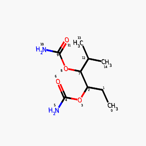 CCC(OC(N)=O)C(OC(N)=O)C(C)C